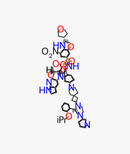 CC(C)Oc1ccccc1[C@@H]1CN(c2cccnc2)CCN1C1CC2(CCN(c3ccc(C(=O)NS(=O)(=O)c4cc5c(c([N+](=O)[O-])c4)N[C@H](C4CCOCC4)CO5)c(N4c5cc6cc[nH]c6nc5O[C@H]5COCC[C@@H]54)c3)CC2)C1